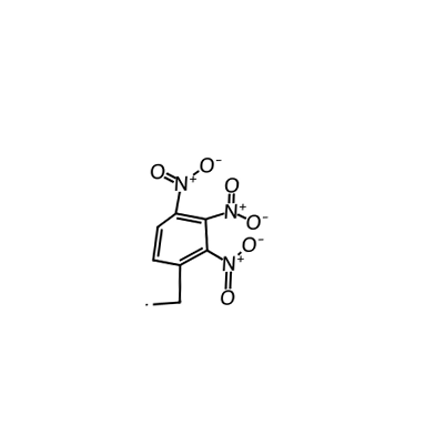 [CH2]Cc1ccc([N+](=O)[O-])c([N+](=O)[O-])c1[N+](=O)[O-]